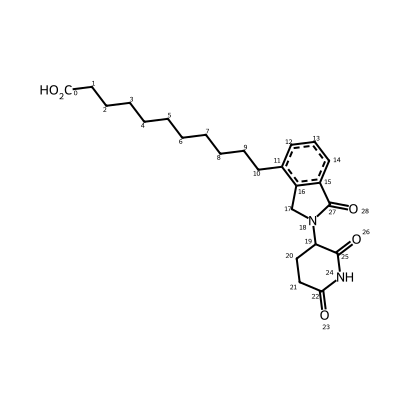 O=C(O)CCCCCCCCCCc1cccc2c1CN(C1CCC(=O)NC1=O)C2=O